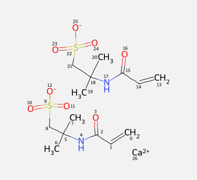 C=CC(=O)NC(C)(C)CS(=O)(=O)[O-].C=CC(=O)NC(C)(C)CS(=O)(=O)[O-].[Ca+2]